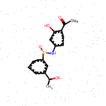 COC(=O)c1ccc(N[S+]([O-])c2cccc(C(C)O)c2)cc1O